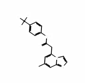 Cc1cc(CC(=O)Nc2ccc(C(F)(F)F)cc2)n2ccnc2c1